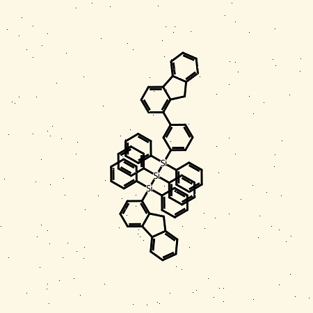 c1ccc([Si](c2ccccc2)(c2cccc(-c3cccc4c3Cc3ccccc3-4)c2)[Si](c2ccccc2)(c2ccccc2)[Si](c2ccccc2)(c2ccccc2)c2cccc3c2Cc2ccccc2-3)cc1